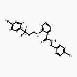 O=C(NCc1ccc(F)cc1)c1cncnc1SCCC(F)(F)c1ccc(F)cc1